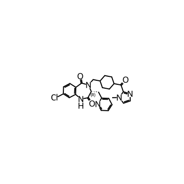 Cn1ccnc1C(=O)C1CCC(CN2C(=O)c3ccc(Cl)cc3NC(=O)[C@H]2Cc2ccccn2)CC1